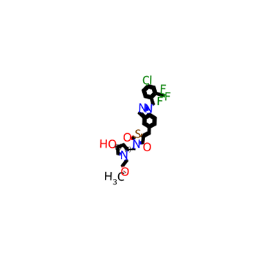 COCCN1C[C@H](O)C[C@H]1CN1C(=O)SC(=Cc2ccc3c(cnn3Cc3ccc(Cl)cc3C(F)(F)F)c2)C1=O